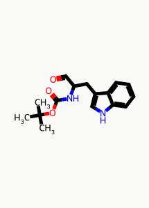 CC(C)(C)OC(=O)NC([C]=O)Cc1c[nH]c2ccccc12